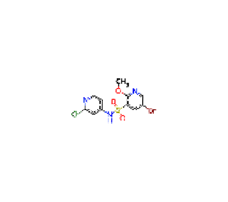 COc1ncc(Br)cc1S(=O)(=O)Nc1ccnc(Cl)c1